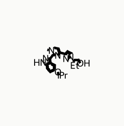 CCC(CO)n1ccc(C2=CCN(C)C(c3n[nH]c4ccc(OC(C)C)cc34)=N2)n1